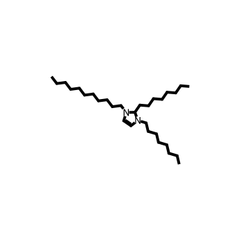 CCCCCCCCCCCN1C=CN(CCCCCCCC)C1CCCCCCCC